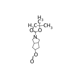 CC(C)(C)OC(=O)N1CC2CC(OC=O)CC2C1